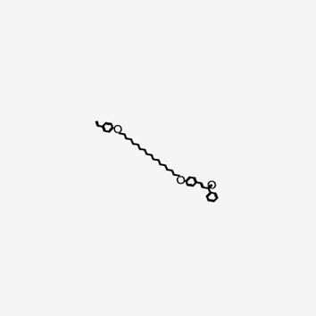 C=Cc1ccc(OCCCCCCCCCCCCCCCCCCOc2ccc(C=CC(=O)c3ccccc3)cc2)cc1